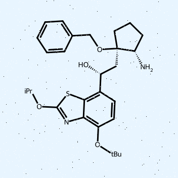 CC(C)Oc1nc2c(OC(C)(C)C)ccc([C@H](O)C[C@]3(OCc4ccccc4)CCC[C@@H]3N)c2s1